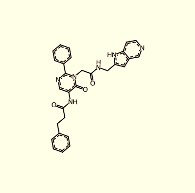 O=C(Cn1c(-c2ccccc2)ncc(NC(=O)CCc2ccccc2)c1=O)NCc1cc2cnccc2[nH]1